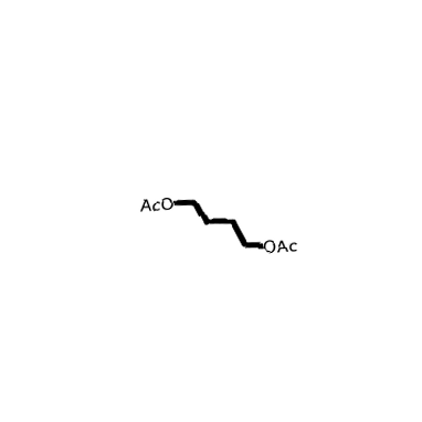 CC(=O)OCCCCOC(C)=O